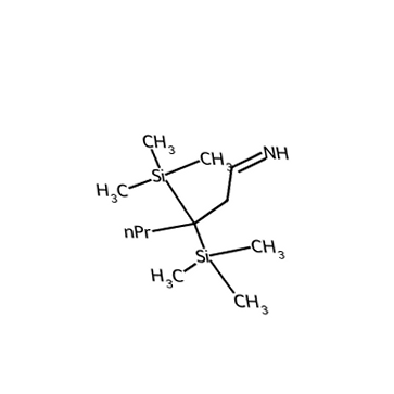 CCCC(CC=N)([Si](C)(C)C)[Si](C)(C)C